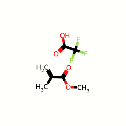 C=C(C)C(=O)OC.O=C(O)C(F)(F)F